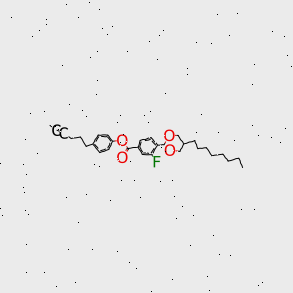 CCCCCCCCC1COC(c2ccc(C(=O)Oc3ccc(CCCCCC)cc3)cc2F)OC1